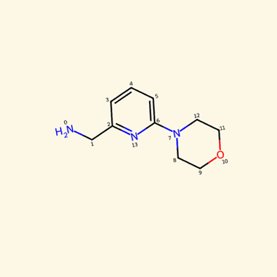 NCc1cccc(N2CCOCC2)n1